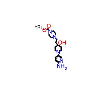 CC(C)(C)OC(=O)N1CCN(CCC2(O)CCN(c3ccc(N)nc3)CC2)CC1